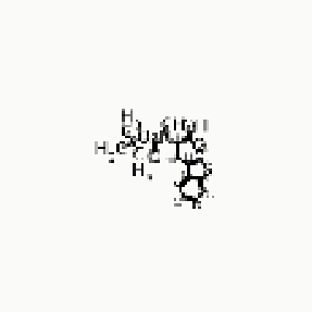 CN(C(=O)OC(C)(C)C)C(Cc1csc2ccccc12)C(=O)O